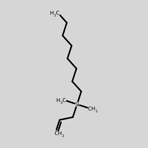 C=CC[Si](C)(C)CCCCCCCC